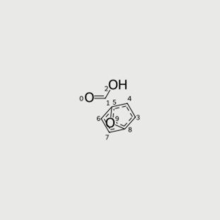 O=CO.c1cc2ccc1o2